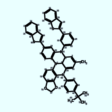 CC1=CC2C3B(c4ccc(-c5cc6ccccc6s5)cc4N2c2cccc(-c4cc5ccccc5s4)c2)c2ccc4c(c2N(c2ccc(C(C)(C)C)cc2)C3=C1)OCO4